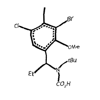 CCC(c1cc(Cl)c(C)c(Br)c1OC)N(C(=O)O)C(C)(C)C